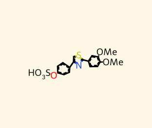 COc1ccc(-c2nc(-c3ccc(OS(=O)(=O)O)cc3)cs2)cc1OC